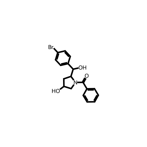 O=C(c1ccccc1)N1CC(O)CC1C(O)c1ccc(Br)cc1